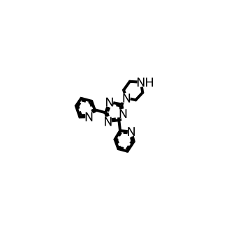 c1ccc(-c2nc(-c3ccccn3)nc(N3CCNCC3)n2)nc1